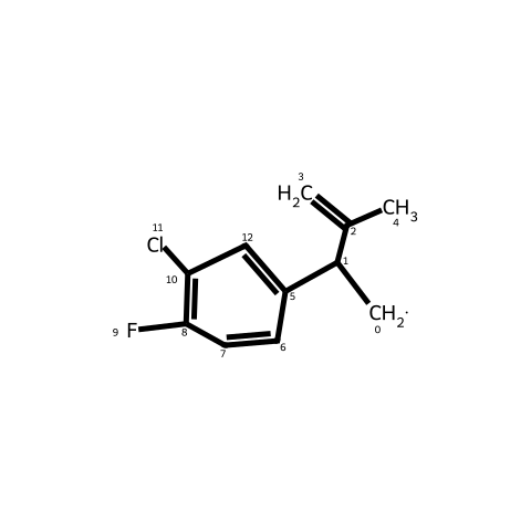 [CH2]C(C(=C)C)c1ccc(F)c(Cl)c1